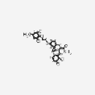 Cc1cc(Cl)c(OCCOc2ccc(C[C@@H](C(N)=O)N(Cc3cccc(Cl)c3Cl)C3CC3)cc2)c(Cl)c1